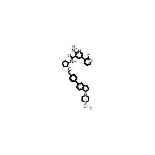 CN1CCN([C@H]2CCc3cc(-c4ccc(CO[C@H]5CCC[C@@H]5NC(=O)c5cc(-c6cccnc6F)cnc5N)cc4)ccc32)CC1